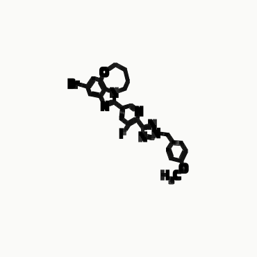 COc1ccc(Cn2cnc(-c3ncc(-c4nc5cc(Br)cc6c5n4CCCCO6)cc3F)n2)cc1